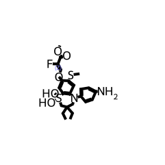 CCC1(CC)CN(c2ccc(N)cc2)c2cc(SC)c(O/C=C(\F)C(=O)OC)cc2S(O)(O)C1